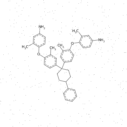 Cc1cc(N)ccc1Oc1ccc(C2(c3ccc(Oc4ccc(N)cc4C)c(C)c3)CCC(c3ccccc3)CC2)cc1C